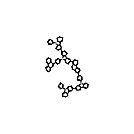 c1ccc(-n2c3ccccc3c3cc(-c4ccc5c6ccccc6n(-c6ccc(-c7ccc8c(ccc9c(-c%10ccc%11c(c%10)c%10ccc(-c%12ccc%13c(c%12)c%12ccccc%12n%13-c%12ccccc%12)cc%10n%11-c%10ccc(-c%11cc%12ccccc%12c%12ccccc%11%12)cc%10)cccc98)c7)cc6)c5c4)ccc32)cc1